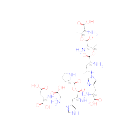 CC(C)C[C@H](N)C(=O)O[C@H](C)[C@H](N)C(=O)O[C@H](C)[C@H](N)C(=O)O.NCC(=O)O.N[C@@H](CC(=O)O)C(=O)O.N[C@@H](Cc1c[nH]cn1)C(=O)O.N[C@@H](Cc1c[nH]cn1)C(=O)OC(=O)[C@@H]1CCCN1